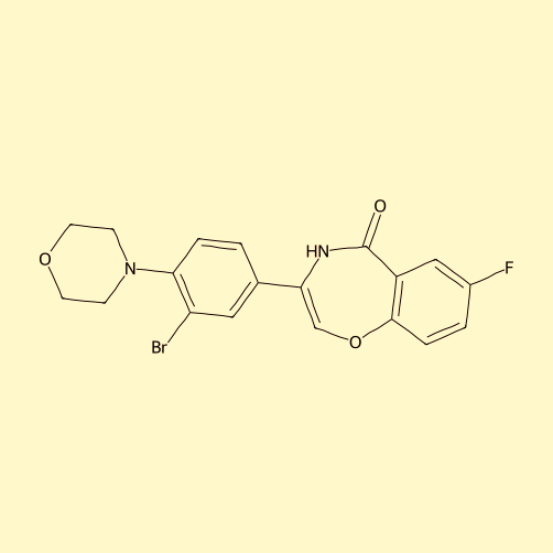 O=C1NC(c2ccc(N3CCOCC3)c(Br)c2)=COc2ccc(F)cc21